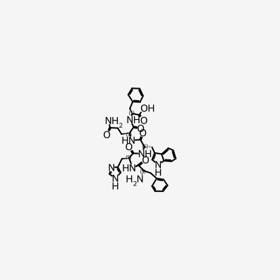 NC(=O)CC[C@H](NC(=O)[C@H](Cc1c[nH]c2ccccc12)NC(=O)[C@H](Cc1c[nH]cn1)NC(=O)[C@@H](N)Cc1ccccc1)C(=O)N[C@@H](Cc1ccccc1)C(=O)O